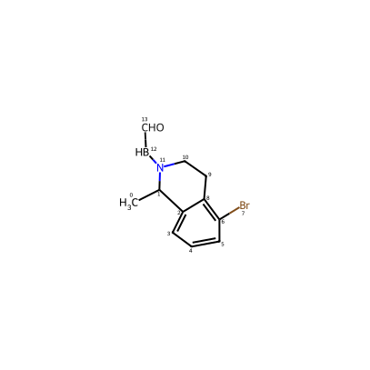 CC1c2cccc(Br)c2CCN1BC=O